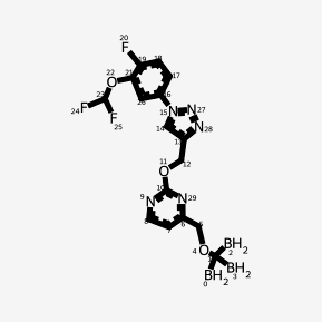 BC(B)(B)OCc1ccnc(OCc2cn(-c3ccc(F)c(OC(F)F)c3)nn2)n1